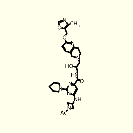 CC(=O)N1CC(Nc2cc(C(=O)NCC(O)CN3CCc4nc(OCc5ocnc5C)ccc4C3)nc(N3CCCCC3)n2)C1